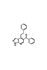 O=C(c1ccccc1)c1cnc2[nH]ncc2c1CCc1ccccc1